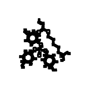 C=CC(=O)OCCCCCC(C)C.Cc1ccc(OP(=O)(Oc2ccc(C)cc2)Oc2ccc(C)cc2)cc1